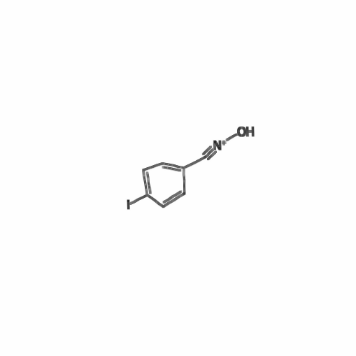 O[N+]#Cc1ccc(I)cc1